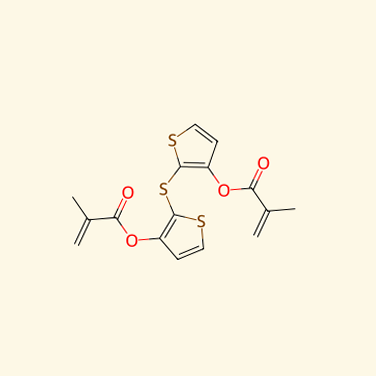 C=C(C)C(=O)Oc1ccsc1Sc1sccc1OC(=O)C(=C)C